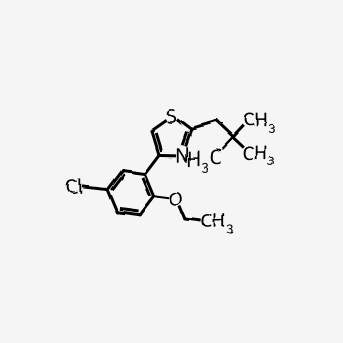 CCOc1ccc(Cl)cc1-c1csc(CC(C)(C)C)n1